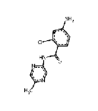 Cc1cnc(NC(=O)c2ccc(N)cc2Cl)cn1